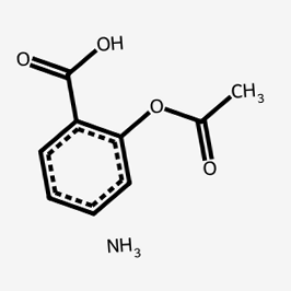 CC(=O)Oc1ccccc1C(=O)O.N